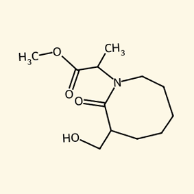 COC(=O)C(C)N1CCCCCC(CO)C1=O